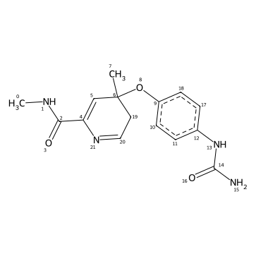 CNC(=O)C1=CC(C)(Oc2ccc(NC(N)=O)cc2)CC=N1